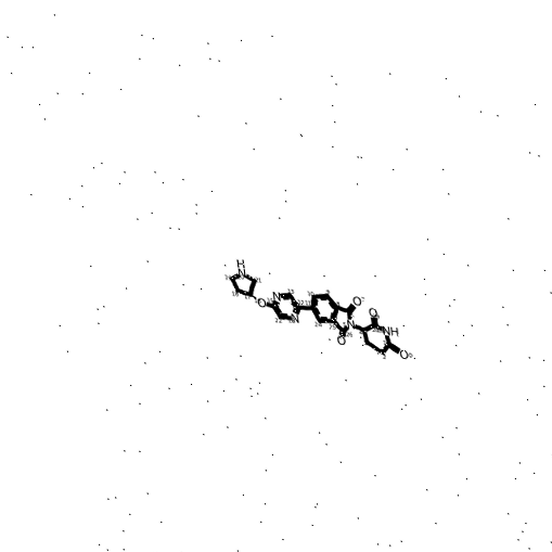 O=C1CCC(N2C(=O)c3ccc(-c4cnc(O[C@@H]5CCNC5)cn4)cc3C2=O)C(=O)N1